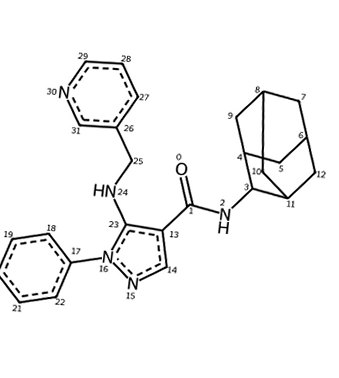 O=C(NC1C2CC3CC(C2)CC1C3)c1cnn(-c2ccccc2)c1NCc1cccnc1